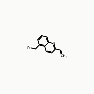 C=Cc1ccc2c(CC(C)C)cccc2n1